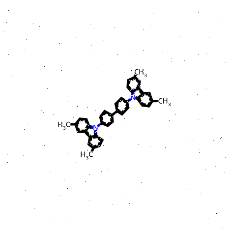 Cc1ccc2c(c1)c1cc(C)ccc1n2-c1ccc(-c2ccc(-n3c4ccc(C)cc4c4cc(C)ccc43)cc2)cc1